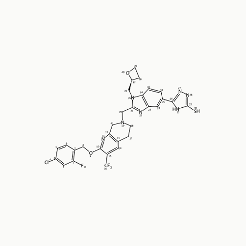 Fc1cc(Cl)ccc1COc1nc2c(cc1C(F)(F)F)CCN(Cc1nc3cc(-c4nnc(S)[nH]4)ccc3n1C[C@@H]1CCO1)C2